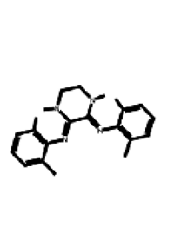 Cc1cccc(C)c1N=C1C(=Nc2c(C)cccc2C)N(C)CCN1C